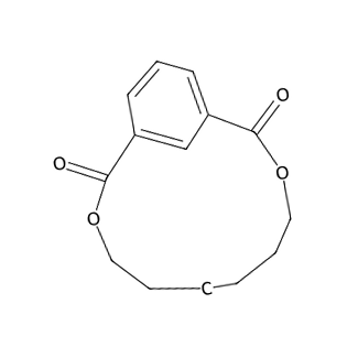 O=C1OCCCCCCOC(=O)c2cccc1c2